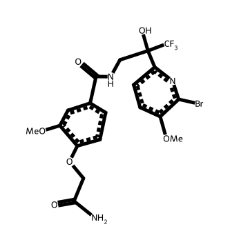 COc1cc(C(=O)NCC(O)(c2ccc(OC)c(Br)n2)C(F)(F)F)ccc1OCC(N)=O